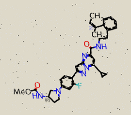 C/C=C(/C)c1ccccc1CCNC(=O)c1cc(C2CC2)n2nc(-c3ccc(N4CC[C@@H](NC(=O)OC)C4)cc3F)cc2n1